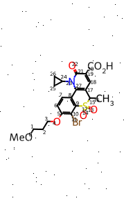 COCCCOc1ccc2c(c1Br)S(=O)(=O)C(C)c1cc(C(=O)O)c(=O)n(C3CC3)c1-2